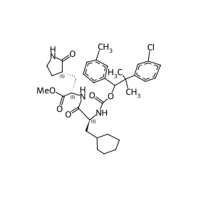 COC(=O)[C@H](C[C@@H]1CCNC1=O)NC(=O)[C@H](CC1CCCCC1)NC(=O)OC(c1cccc(C)c1)C(C)(C)c1cccc(Cl)c1